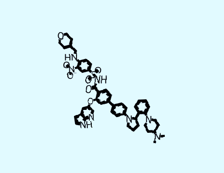 CN(C)C1CCN(c2ccccc2C2CCCN2c2ccc(-c3ccc(C(=O)NS(=O)(=O)c4ccc(NCC5CCOCC5)c([N+](=O)[O-])c4)c(Oc4cnc5[nH]ccc5c4)c3)cc2)CC1